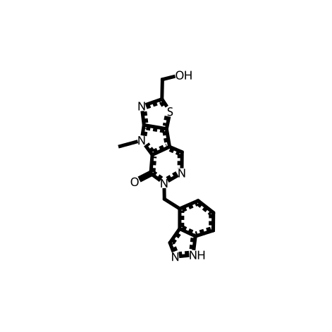 Cn1c2nc(CO)sc2c2cnn(Cc3cccc4[nH]ncc34)c(=O)c21